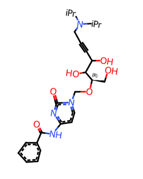 CC(C)N(CC#CC(O)C(O)[C@@H](CO)OCn1ccc(NC(=O)c2ccccc2)nc1=O)C(C)C